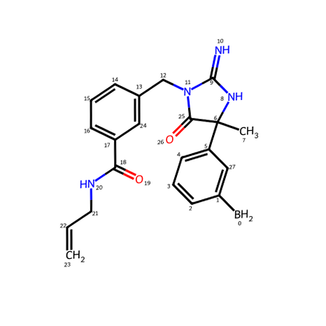 Bc1cccc(C2(C)NC(=N)N(Cc3cccc(C(=O)NCC=C)c3)C2=O)c1